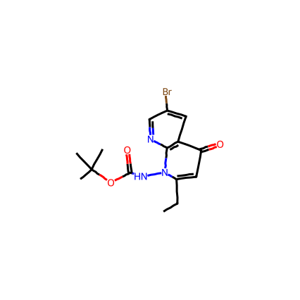 CCc1cc(=O)c2cc(Br)cnc2n1NC(=O)OC(C)(C)C